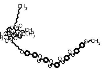 CCCCCCCCCN1C(=O)C(CC(C2C(=O)N(CCCCCCOc3ccc(-c4ccc(OC(=O)c5ccc(OC(=O)c6cccc(C(=O)Oc7ccc(C(=O)Oc8ccc(-c9ccc(OCCC)cc9)cc8)cc7)c6)cc5)cc4)cc3)C(=O)C2C(C)(C)C)N2CCCC2=O)C(C(CC(C)(C)C)N2CCCC2=O)C1=O